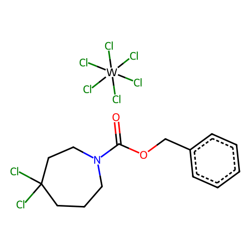 O=C(OCc1ccccc1)N1CCCC(Cl)(Cl)CC1.[Cl][W]([Cl])([Cl])([Cl])([Cl])[Cl]